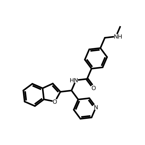 CNCc1ccc(C(=O)NC(c2cccnc2)c2cc3ccccc3o2)cc1